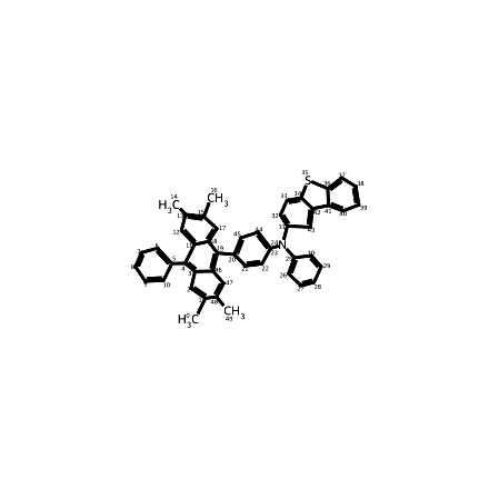 Cc1cc2c(-c3ccccc3)c3cc(C)c(C)cc3c(-c3ccc(N(c4ccccc4)c4ccc5sc6ccccc6c5c4)cc3)c2cc1C